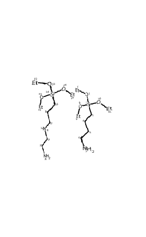 CCO[Si](CCCCN)(OCC)OCC.CCO[Si](CCCNCCN)(OCC)OCC